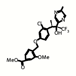 COC(=O)c1ccc(COc2ccc([C@@H](C)[C@@](O)(c3cnc(C)cn3)C(F)(F)F)c(Cl)c2)c(OC)c1